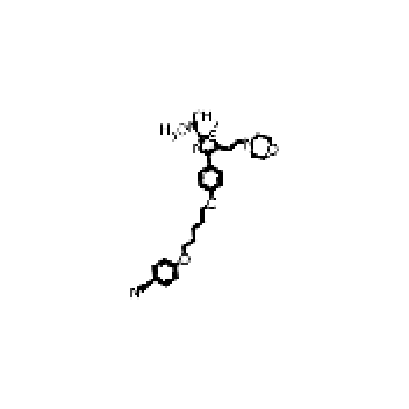 CN(C)c1nc(-c2ccc(OCCCCCOc3ccc(C#N)cc3)cc2)c(CCN2CCOCC2)s1